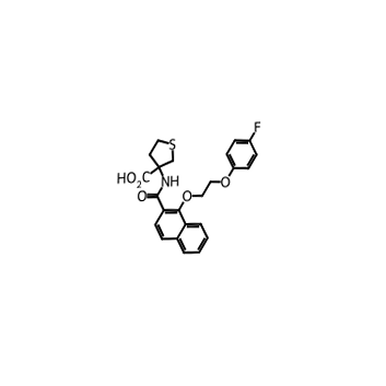 O=C(NC1(C(=O)O)CCSC1)c1ccc2ccccc2c1OCCOc1ccc(F)cc1